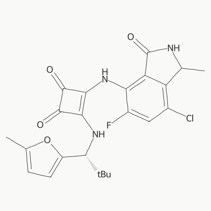 Cc1ccc([C@H](Nc2c(Nc3c(F)cc(Cl)c4c3C(=O)NC4C)c(=O)c2=O)C(C)(C)C)o1